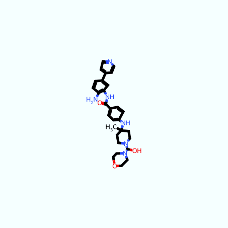 CC1(Nc2ccc(C(=O)Nc3cc(-c4ccncc4)ccc3N)cc2)CCN(C(O)N2CCOCC2)CC1